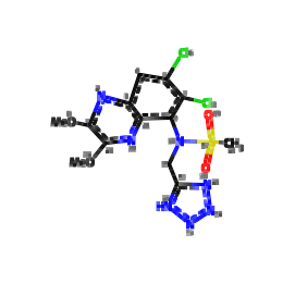 COc1nc2cc(Cl)c(Cl)c(N(Cc3nnn[nH]3)S(C)(=O)=O)c2nc1OC